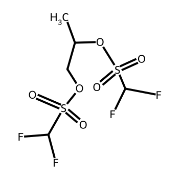 CC(COS(=O)(=O)C(F)F)OS(=O)(=O)C(F)F